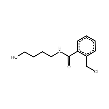 O=C(NCCCCO)c1ccccc1CCl